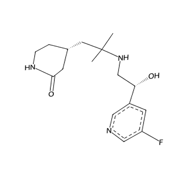 CC(C)(C[C@H]1CCNC(=O)C1)NC[C@H](O)c1cncc(F)c1